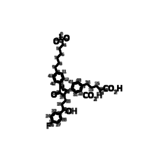 CS(=O)(=O)CCCCCCc1ccc(N2C(=O)[C@H](CC[C@H](O)c3ccc(F)cc3)[C@H]2c2ccc(CCCC(C(=O)O)C(=O)O)cc2)cc1